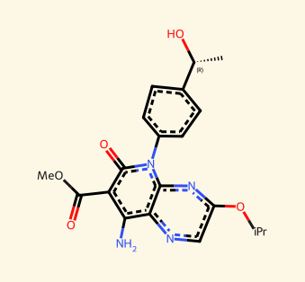 COC(=O)c1c(N)c2ncc(OC(C)C)nc2n(-c2ccc([C@@H](C)O)cc2)c1=O